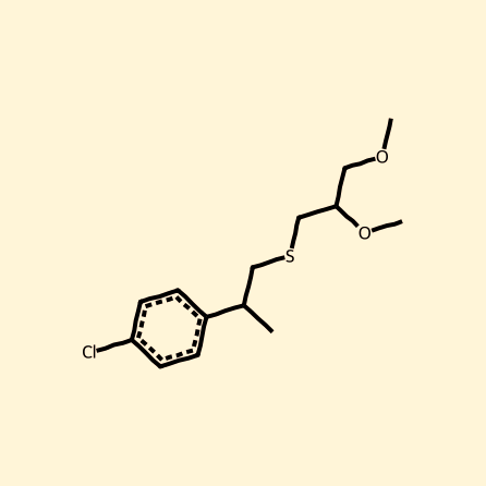 COCC(CSCC(C)c1ccc(Cl)cc1)OC